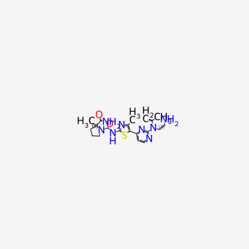 C=C(C)N(/C=C\N)c1nccc(-c2sc(NC(=O)N3CCC[C@@]3(C)C(N)=O)nc2C)n1